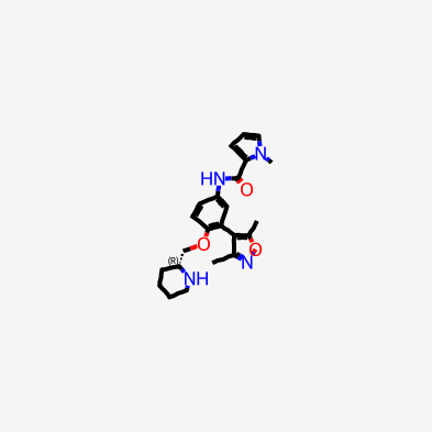 Cc1noc(C)c1-c1cc(NC(=O)c2cccn2C)ccc1OC[C@H]1CCCCN1